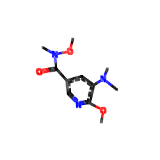 COc1ncc(C(=O)N(C)OC)cc1N(C)C